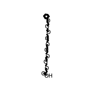 O=C(O)CCOCCOCCOCCOCCOCCOCCOCCOCCOc1ccccc1